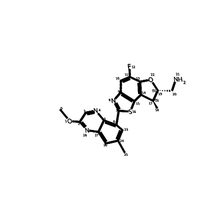 COc1cnc2c(-c3nc4cc(F)c5c(c4s3)[C@H](C)[C@@H](CN)O5)cc(C)cc2n1